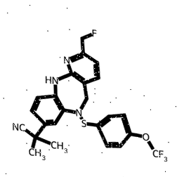 CC(C)(C#N)c1ccc2c(c1)N(Sc1ccc(OC(F)(F)F)cc1)Cc1ccc(CF)nc1N2